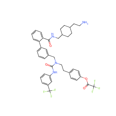 NCCC1CCC(CNC(=O)c2ccccc2-c2cccc(CN(CCc3ccc(OC(=O)C(F)(F)F)cc3)C(=O)Nc3cccc(C(F)(F)F)c3)c2)CC1